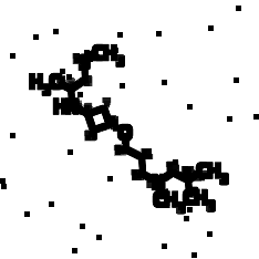 CSCC(C)N[C@H]1C[C@H](OCCCN(C)CC(C)C)C1